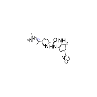 C=NN(C)/C=C(\C)c1ccc(C(=O)Nc2cc(-c3ccon3)ccc2N)nc1